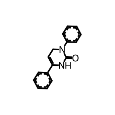 O=C1NC(c2ccccc2)=CCN1c1ccccc1